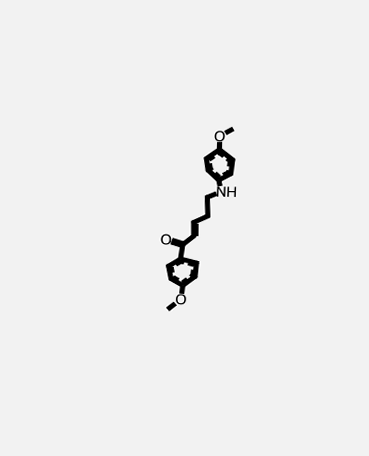 COc1ccc(NCC/C=C/C(=O)c2ccc(OC)cc2)cc1